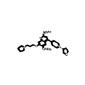 CNc1cc(C2CCN([C@@H]3CCOC3)CC2)c2cc(OC)c(OCCCN3CCCC3)cc2n1